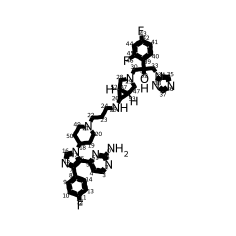 Nc1nccc(-c2c(-c3ccc(F)cc3)ncn2C2CCN(CCCNC3[C@H]4CN(CC(O)(Cn5cncn5)c5ccc(F)cc5F)C[C@@H]34)CC2)n1